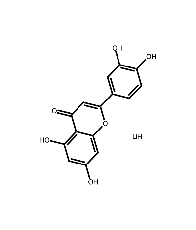 O=c1cc(-c2ccc(O)c(O)c2)oc2cc(O)cc(O)c12.[LiH]